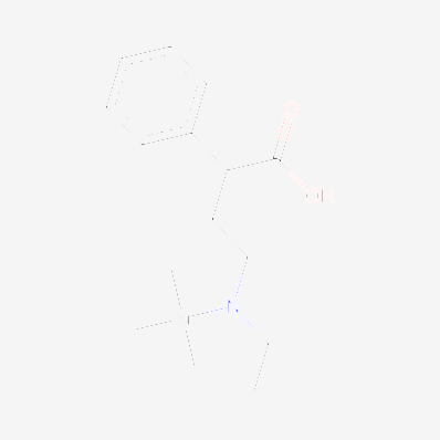 CCN(CCC(C(=O)O)c1ccccc1)[Si](C)(C)C